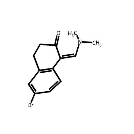 CN(C)C=C1C(=O)CCc2cc(Br)ccc21